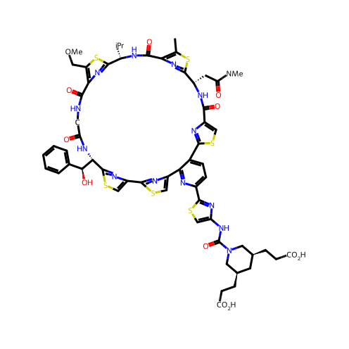 CNC(=O)C[C@@H]1NC(=O)c2csc(n2)-c2ccc(-c3nc(NC(=O)N4C[C@H](CCC(=O)O)C[C@H](CCC(=O)O)C4)cs3)nc2-c2csc(n2)-c2csc(n2)[C@H]([C@@H](O)c2ccccc2)NC(=O)CNC(=O)c2nc(sc2COC)[C@H](C(C)C)NC(=O)c2nc1sc2C